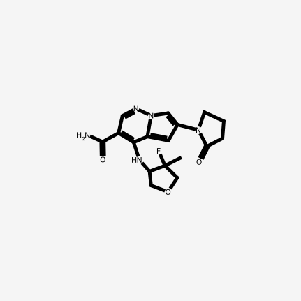 CC1(F)COCC1Nc1c(C(N)=O)cnn2cc(N3CCCC3=O)cc12